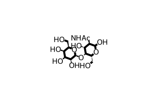 CC(=O)N[C@H]1C(O)O[C@H](CO)[C@H](O[C@@H]2O[C@H](CO)[C@H](O)[C@H](O)[C@H]2O)[C@@H]1O